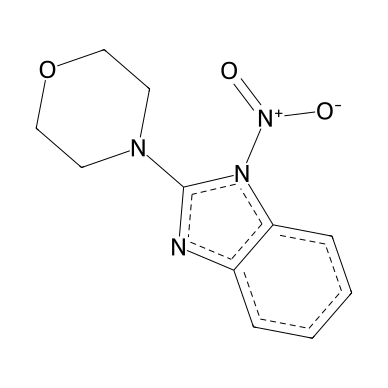 O=[N+]([O-])n1c(N2CCOCC2)nc2ccccc21